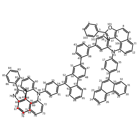 c1ccc(-c2nc3c(ccc4cccc(N(c5ccc(-c6cc7ccccc7c7ccccc67)cc5)c5cccc(-c6cccc(-c7ccc8c(c7)cc(-c7ccc(N(c9ccccc9-c9ccccc9)c9cccc%10ccc%11nc(-c%12ccccc%12)oc%11c9%10)cc7)c7ccccc78)c6)c5)c43)o2)cc1